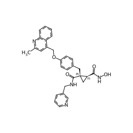 Cc1cc(COc2ccc(C[C@]3(C(=O)NCc4cccnc4)C[C@@H]3C(=O)NO)cc2)c2ccccc2n1